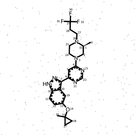 C[C@H]1CN(c2cc(-c3n[nH]c4ccc(OC5(C)CC5)cc34)ncn2)CCN1CCC(F)(F)F